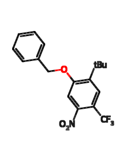 CC(C)(C)c1cc(C(F)(F)F)c([N+](=O)[O-])cc1OCc1ccccc1